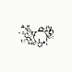 CCc1ccncc1-c1c2c3cc(ccc3n1CC)-c1cc(O)cc(c1)C[C@H](NC(=O)[C@H](C(C)C)N(C)C(=O)CN(C)C(=O)[C@@H]1N[C@@H]1C1CC1)C(=O)N1CCC[C@H](N1)C(=O)OCC(C)(C)C2